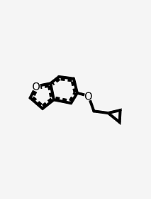 c1cc2cc(OCC3CC3)ccc2o1